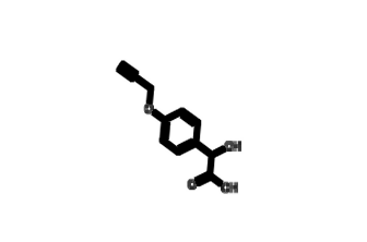 C#CCOc1ccc(C(O)C(=O)O)cc1